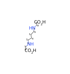 O=C(O)CNCCCCNCC(=O)O